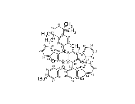 Cc1cc2c(cc1N1c3cc4c(sc5ccccc54)c4c3B(c3oc5ccccc5c31)N(c1ccc(C(C)(C)C)cc1)c1ccc3sc5ccccc5c3c1-4)C(C)(C)CCC2(C)C